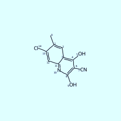 Cc1cc2c(O)c(C#N)c(O)nc2cc1Cl